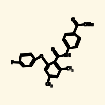 COC(=O)c1ccc(NC(=O)c2c(Oc3ccc(F)cc3)cc(C(F)(F)F)cc2C(F)(F)F)cc1